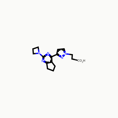 O=C(O)CCn1ccc(-c2nc(N3CCC3)nc3c2CCC3)n1